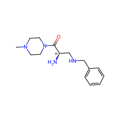 CN1CCN(C(=O)[C@H](N)CNCc2ccccc2)CC1